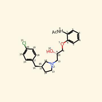 CC(=O)Nc1ccccc1OC[C@@H](O)CN1CC[C@@H](Cc2ccc(Cl)cc2)C1